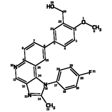 COc1ccc(-c2ccc3ncc4nc(C)n(-c5ccc(F)cc5)c4c3c2)cc1CO